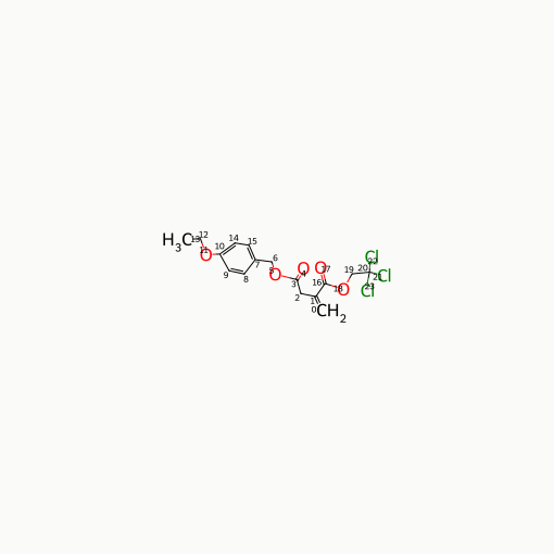 C=C(CC(=O)OCc1ccc(OCC)cc1)C(=O)OCC(Cl)(Cl)Cl